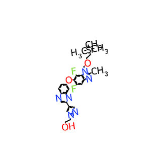 Cc1nc2cc(F)c(Oc3ccc4ncc(-c5cnn(CCO)c5)nc4c3)c(F)c2n1COCC[Si](C)(C)C